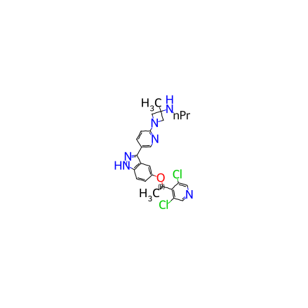 CCCNC1(C)CN(c2ccc(-c3n[nH]c4ccc(O[C@H](C)c5c(Cl)cncc5Cl)cc34)cn2)C1